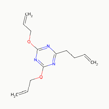 C=CCCc1nc(OCC=C)nc(OCC=C)n1